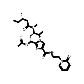 CC[C@H](C)CC(=O)N(C)[C@H](C[C@@H](OC(C)=O)c1nc(C(=O)NCCn2ccccc2=O)cs1)C(C)C